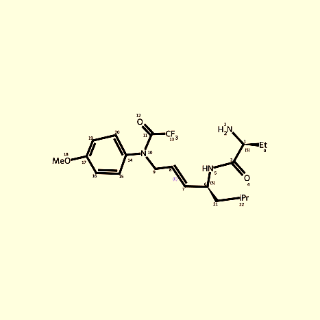 CC[C@H](N)C(=O)N[C@H](/C=C/CN(C(=O)C(F)(F)F)c1ccc(OC)cc1)CC(C)C